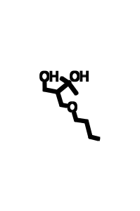 CCCCOCC(CO)C(C)(C)O